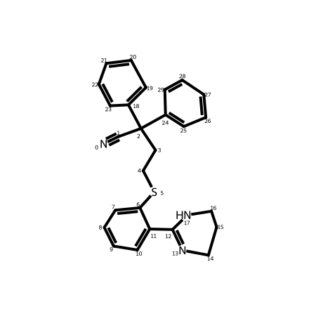 N#CC(CCSc1ccccc1C1=NCCCN1)(c1ccccc1)c1ccccc1